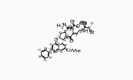 COc1ccc2c(O[C@@H]3C[C@@H](C(N)=O)N(C(=O)[C@H](CCNC(=O)[C@H](C)Br)NC(=O)OC(C)(C)C)C3)cc(-c3ccccc3)nc2c1